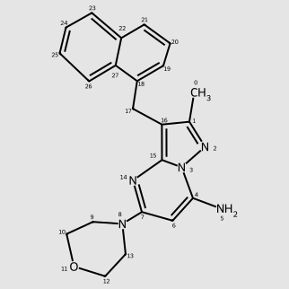 Cc1nn2c(N)cc(N3CCOCC3)nc2c1Cc1cccc2ccccc12